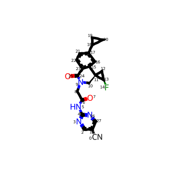 N#Cc1cnc(NC(=O)CN2C[C@]3(C[C@H]3F)c3cc(C4CC4)ccc3C2=O)nc1